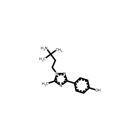 Cc1nc(-c2ccc(O)cc2)nn1CCC(C)(C)N